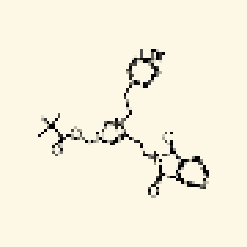 Br.CC(C)(C)C(=O)OCN1C=C(CCN2C(=O)c3ccccc3C2=O)N(CCc2ccccc2)C1